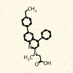 CCc1ccc(-c2ccc3nc(N(C)CC(=O)O)cc(-c4ccccc4)c3c2)cc1